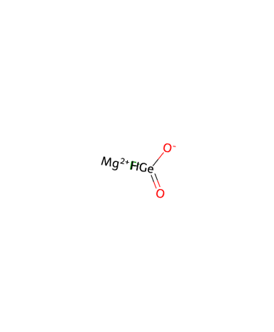 [F-].[Mg+2].[O]=[GeH][O-]